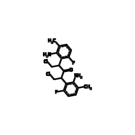 Cc1ccc(F)c(C(CCl)C(=O)C(CCl)c2c(F)ccc(C)c2N)c1N